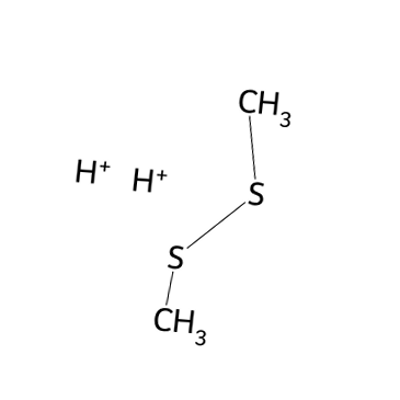 CSSC.[H+].[H+]